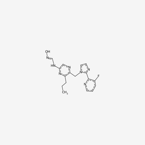 CCCc1nc(NC=NO)cnc1Cn1ccnc1-c1ncccc1F